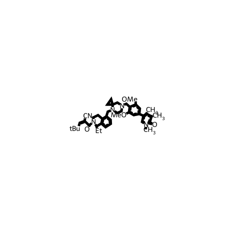 CCC1c2cccc(CN3CCN(Cc4c(OC)cc(-c5cn(C)c(=O)c(C)c5C)cc4OC)CC34CC4)c2CCN1C(=O)/C(C#N)=C\C(C)(C)C